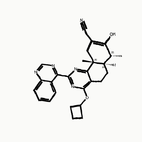 C[C@H]1C(O)=C(C#N)C[C@@]2(C)c3nc(-c4ncnc5ccccc45)nc(OC4CCC4)c3CC[C@H]12